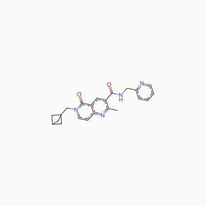 Cc1nc2ccn(CC34CC(C3)C4)c(=O)c2cc1C(=O)NCc1ccccn1